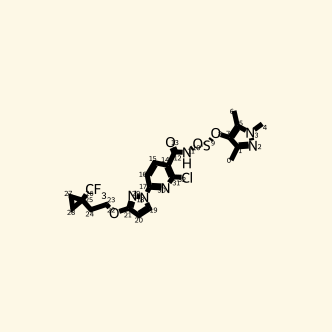 Cc1nn(C)c(C)c1OSONC(=O)c1ccc(-n2ccc(OCCC3(C(F)(F)F)CC3)n2)nc1Cl